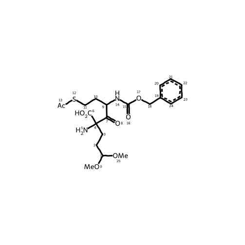 COC(CCC(N)(C(=O)O)C(=O)C(CCSC(C)=O)NC(=O)OCc1ccccc1)OC